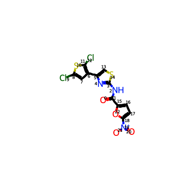 O=C(Nc1nc(-c2cc(Cl)sc2Cl)cs1)c1ccc([N+](=O)[O-])o1